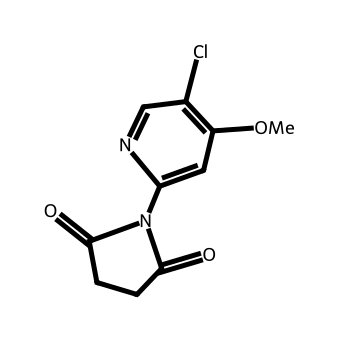 COc1cc(N2C(=O)CCC2=O)ncc1Cl